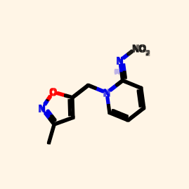 Cc1cc(Cn2cccc/c2=N\[N+](=O)[O-])on1